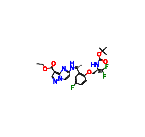 CCOC(=O)c1cnn2ccc(N[C@H](C)c3cc(F)ccc3OC[C@@H](NC(=O)OC(C)(C)C)C(F)F)nc12